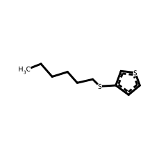 CCCCCCSc1ccsc1